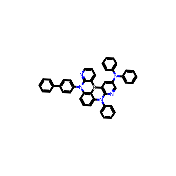 c1ccc(-c2ccc(N3c4cccc5c4B(c4cccnc43)c3cc(N(c4ccccc4)c4ccccc4)cnc3N5c3ccccc3)cc2)cc1